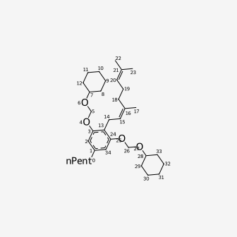 CCCCCc1cc(OCOC2CCCCC2)c(CC=C(C)CCC=C(C)C)c(OCOC2CCCCC2)c1